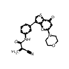 C=C(C#N)C(=O)Nc1cccc(-c2csc3c(=O)cc(N4CCOCC4)oc23)c1